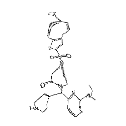 CN(C)c1nccc(C(C2CCNCC2)N2CCN(S(=O)(=O)c3cc4ccc(Cl)cc4s3)CC2=O)n1